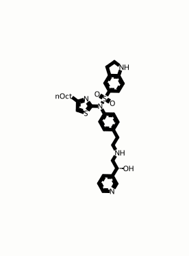 CCCCCCCCc1csc(N(c2ccc(CCNC[C@H](O)c3cccnc3)cc2)S(=O)(=O)c2ccc3c(c2)CCN3)n1